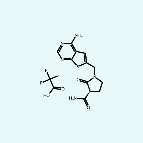 NC(=O)[C@@H]1CCN(Cc2cc3c(N)ncnc3s2)C1=O.O=C(O)C(F)(F)F